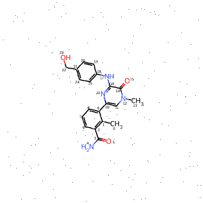 Cc1c(C(N)=O)cccc1-c1cn(C)c(=O)c(Nc2ccc(CO)cc2)n1